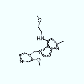 COCCNc1cc(C)nc2ccn(Cc3ccncc3OC)c12